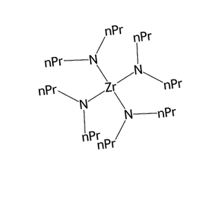 CCC[N](CCC)[Zr]([N](CCC)CCC)([N](CCC)CCC)[N](CCC)CCC